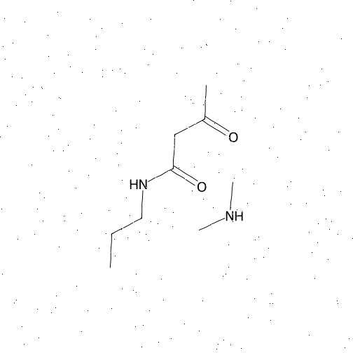 CCCNC(=O)CC(C)=O.CNC